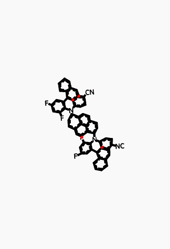 [C-]#[N+]c1ccc(N(c2c(F)cc(F)cc2-c2cccc3ccccc23)c2ccc3ccc4c(N(c5ccc(C#N)cc5)c5c(F)cc(F)cc5-c5cccc6ccccc56)ccc5ccc2c3c54)cc1